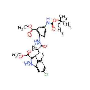 COC(=O)c1cc(NC(=O)OC(C)(C)C)ccc1NC(=O)C(C)C1CCc2cc(Cl)cc3[nH]c(C(=O)OC)c1c23